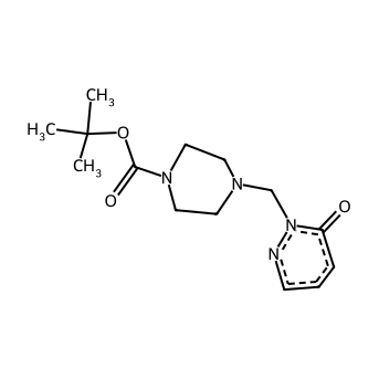 CC(C)(C)OC(=O)N1CCN(Cn2ncccc2=O)CC1